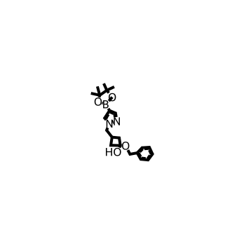 CC1(C)OB(c2cnn(CC3CC(O)(OCc4ccccc4)C3)c2)OC1(C)C